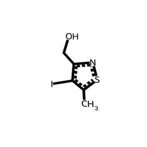 Cc1snc(CO)c1I